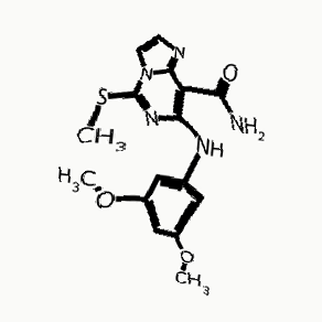 COc1cc(Nc2nc(SC)n3ccnc3c2C(N)=O)cc(OC)c1